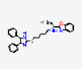 CCCCCCC(NCCCCCSc1nc(-c2ccccc2)c(-c2ccccc2)[nH]1)c1nc2ccccc2o1